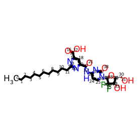 CCCCCCCCCCCCc1nc(C(=O)O)cc(C(=O)Nc2ccn([C@@H]3O[C@H](CO)[C@@H](O)C3(F)F)c(=O)n2)n1